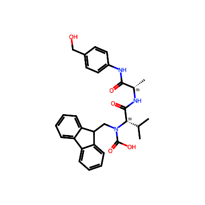 CC(C)[C@@H](C(=O)N[C@@H](C)C(=O)Nc1ccc(CO)cc1)N(CC1c2ccccc2-c2ccccc21)C(=O)O